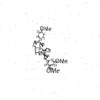 COc1ccc(-c2nccc(C(=O)NN=Cc3cc(OC)cc(OC)c3)n2)cc1